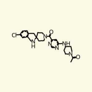 CC(=O)N1CCC(Nc2cc(C(=O)N3CCC4(CC3)Cc3ccc(Cl)cc3CN4)ncn2)CC1